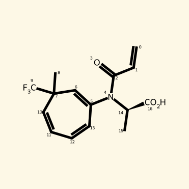 C=CC(=O)N(C1=CC(C)(C(F)(F)F)C=CC=C1)[C@H](C)C(=O)O